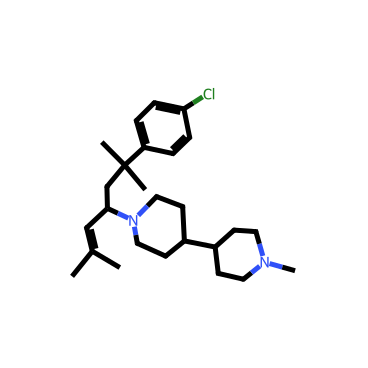 CC(C)=CC(CC(C)(C)c1ccc(Cl)cc1)N1CCC(C2CCN(C)CC2)CC1